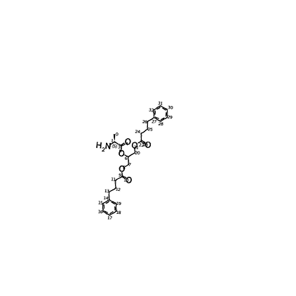 C[C@H](N)C(=O)OC(COC(=O)CCCc1ccccc1)COC(=O)CCCc1ccccc1